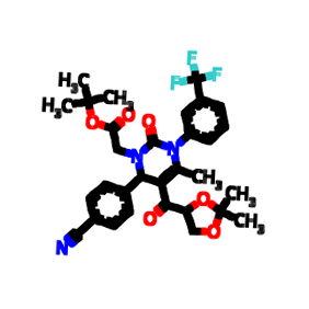 CC1=C(C(=O)C2COC(C)(C)O2)C(c2ccc(C#N)cc2)N(CC(=O)OC(C)(C)C)C(=O)N1c1cccc(C(F)(F)F)c1